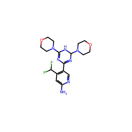 Nc1cc(C(F)F)c(C2=NC(N3CCOCC3)NC(N3CCOCC3)=N2)cn1